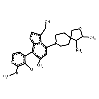 CNc1nccc(-c2c(C)cc(N3CCC4(CC3)COC(C)C4N)n3c(CO)cnc23)c1Cl